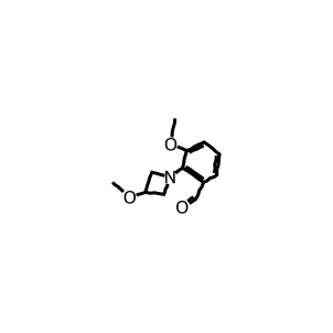 COc1cccc(C=O)c1N1CC(OC)C1